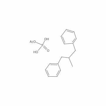 CC(=O)OP(=O)(O)O.CC(Cc1ccccc1)Cc1ccccc1